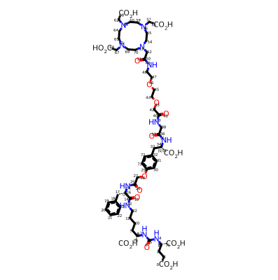 O=C(O)CC[C@H](NC(=O)N[C@@H](CCCCNC(=O)[C@H](Cc1ccccc1)NC(=O)COc1ccc(C[C@H](NC(=O)CNC(=O)COCCOCCNC(=O)CN2CCN(CC(=O)O)CCN(CC(=O)O)CCN(CC(=O)O)CC2)C(=O)O)cc1)C(=O)O)C(=O)O